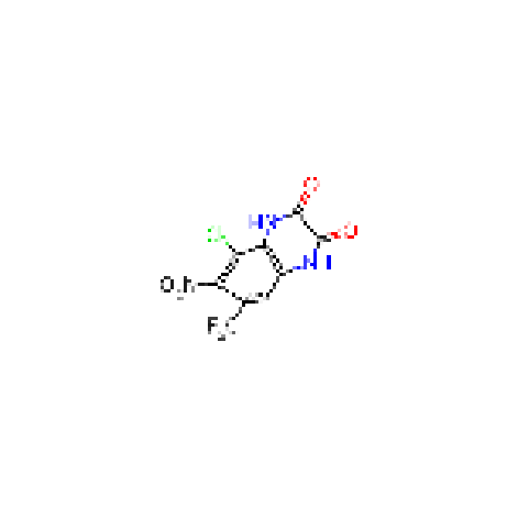 O=c1[nH]c2cc(C(F)(F)F)c([N+](=O)[O-])c(Cl)c2[nH]c1=O